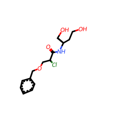 O=C(NC(CO)CCO)C(Cl)COCc1ccccc1